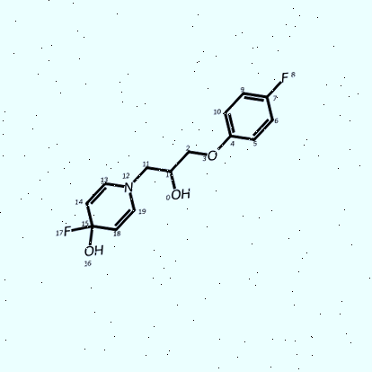 OC(COc1ccc(F)cc1)CN1C=CC(O)(F)C=C1